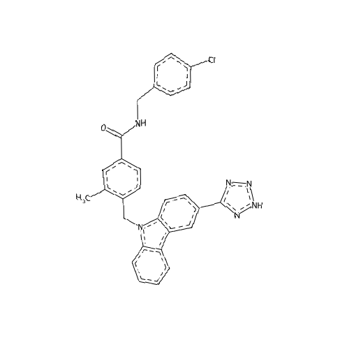 Cc1cc(C(=O)NCc2ccc(Cl)cc2)ccc1Cn1c2ccccc2c2cc(-c3nn[nH]n3)ccc21